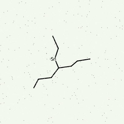 CCC[CH](CCC)[Sn][CH2]C